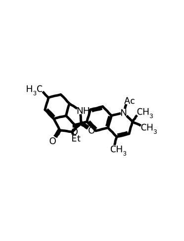 CCC1C(=O)NC2CC(C)C=C(C1=O)C2C(=O)c1ccc2c(c1)C(C)=CC(C)(C)N2C(C)=O